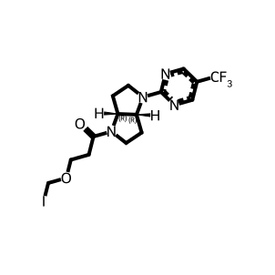 O=C(CCOCI)N1CC[C@@H]2[C@H]1CCN2c1ncc(C(F)(F)F)cn1